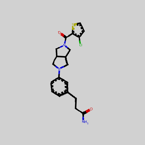 NC(=O)CCc1cccc(N2CC3CN(C(=O)c4sccc4Cl)CC3C2)c1